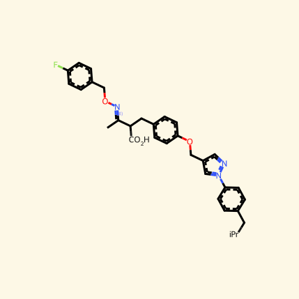 C/C(=N\OCc1ccc(F)cc1)C(Cc1ccc(OCc2cnn(-c3ccc(CC(C)C)cc3)c2)cc1)C(=O)O